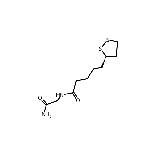 NC(=O)CNC(=O)CCCC[C@@H]1CCSS1